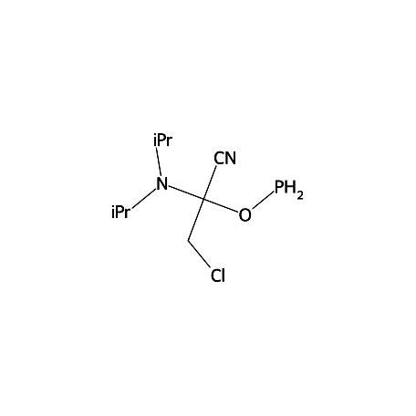 CC(C)N(C(C)C)C(C#N)(CCl)OP